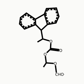 CC(O[C]=O)OC(=O)OC(C)C1c2ccccc2-c2ccccc21